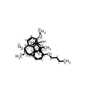 CCCCOc1ccc2c3c1O[C@H]1[C@@]4(OC)C=C[C@@]5(C[C@H]4C(C)=O)[C@@H](C2)N(C)CC[C@]315